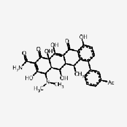 CC(=O)c1cccc(-c2ccc(O)c3c2C(C)C2C(=C(O)C4(O)C(=O)C(C(N)=O)=C(O)C(N(C)C)C4C2O)C3=O)c1